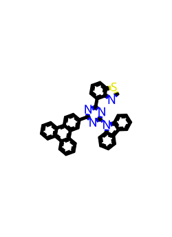 c1cc(-c2nc(-c3ccc4c5ccccc5c5ccccc5c4c3)nc(-n3c4ccccc4c4ccccc43)n2)c2ncsc2c1